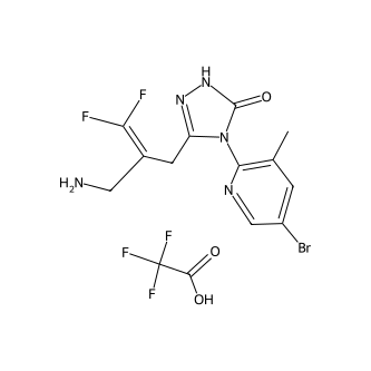 Cc1cc(Br)cnc1-n1c(CC(CN)=C(F)F)n[nH]c1=O.O=C(O)C(F)(F)F